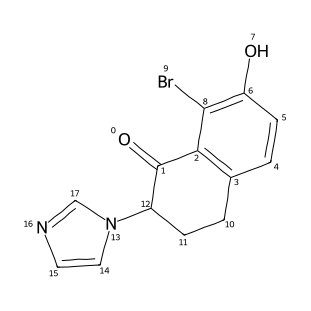 O=C1c2c(ccc(O)c2Br)CCC1n1ccnc1